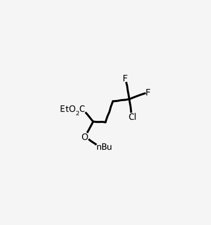 CCCCOC(CCC(F)(F)Cl)C(=O)OCC